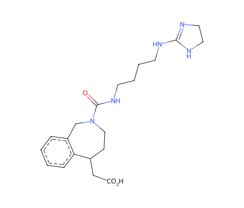 O=C(O)CC1CCN(C(=O)NCCCCNC2=NCCN2)Cc2ccccc21